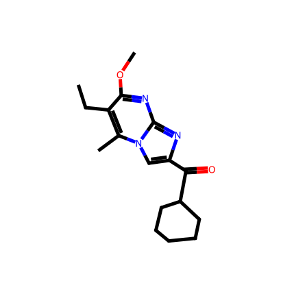 CCc1c(OC)nc2nc(C(=O)C3CCCCC3)cn2c1C